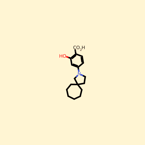 O=C(O)c1ccc(N2CCC3(CCCCCC3)C2)cc1O